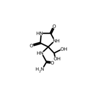 NC(=O)NC1(C(O)O)NC(=O)NC1=O